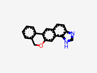 c1ccc2c(c1)COc1cc3c(ccc4nc[nH]c43)cc1-2